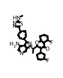 CNc1nnc(-c2ccc(-c3nn(C(C)c4oc5cccc(F)c5c(=O)c4-c4cccc(F)c4)c4cncc(N)c34)cc2)s1